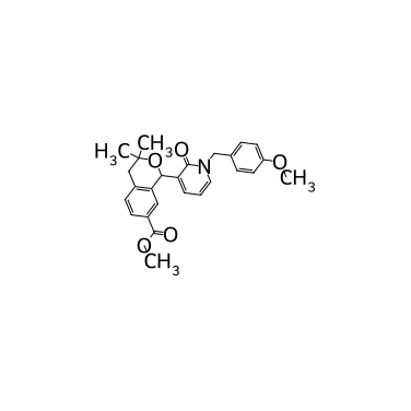 COC(=O)c1ccc2c(c1)C(c1cccn(Cc3ccc(OC)cc3)c1=O)OC(C)(C)C2